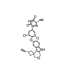 N#Cc1nn(-c2cc(Cl)c(Oc3ccc4[nH]c5c(c4c3)C3(COC5)CC(C#N)C3)c(Cl)c2)c(=O)[nH]c1=O